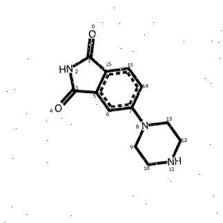 O=C1NC(=O)c2cc(N3CCNCC3)ccc21